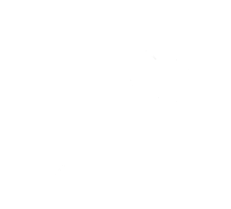 O=S(=O)(c1ccc(Cl)cc1)C1c2c(F)ccc(F)c2OCCC1COCCOCc1ccccc1